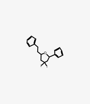 IC1(I)CC(CCc2ccccc2)OC(c2ccccc2)C1